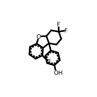 Oc1ccc(C23CCC(F)(F)CC2Oc2cccc(Cl)c23)cc1